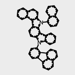 c1cc2c(c(-n3c4ccccc4c4c3ccc3c5c6ccccc6ccc5n(-c5cccc6ccccc56)c34)c1)-c1cccc3cccc-2c13